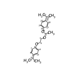 CC(OCCOc1ccc(C(C)C)cc1)Oc1ccc(C(C)C)cc1